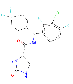 O=C1NC[C@@H](C(=O)NC(c2ccc(F)c(Cl)c2F)C2CCC(F)(F)CC2)N1